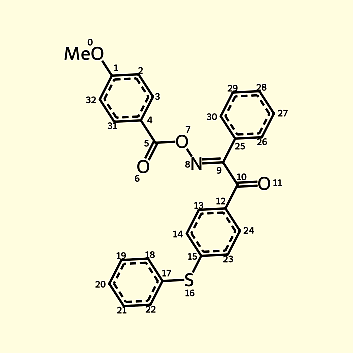 COc1ccc(C(=O)O/N=C(/C(=O)c2ccc(Sc3ccccc3)cc2)c2ccccc2)cc1